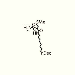 CCCCCCCCCCCCCCCCCCNC(=O)C(CCSC)OC(N)=O